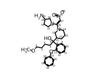 COCCCCC(O)(c1ccccc1Oc1ccccc1)C1CCCN(C(=C[N+](=O)[O-])N2CCC(N)C2)C1